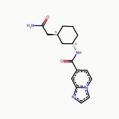 NC(=O)C[C@H]1CCC[C@H](NC(=O)c2ccn3ccnc3c2)C1